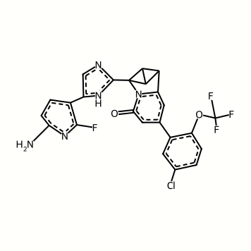 Nc1ccc(-c2cnc(C34C5C(c6cc(-c7cc(Cl)ccc7OC(F)(F)F)cc(=O)n63)C54)[nH]2)c(F)n1